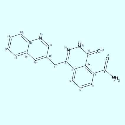 NC(=O)c1[c]ccc2c(Cc3cnc4ccccc4c3)n[nH]c(=O)c12